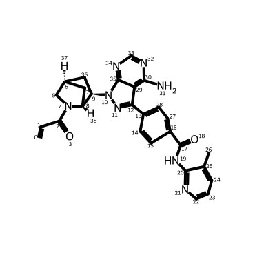 C=CC(=O)N1C[C@@H]2C[C@@H]1[C@H](n1nc(-c3ccc(C(=O)Nc4ncccc4C)cc3)c3c(N)ncnc31)C2